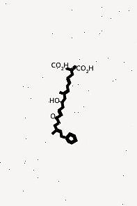 C/C(=C\Cc1ccccc1)CCC(=O)/C=C/C[C@H](O)C/C(C)=C/C/C=C/C/C(=C\C(=O)O)CC(=O)O